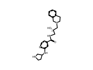 O=C(NC[C@H](O)CN1CCc2ccccc2C1)c1ccnc(NC2CCNC2)c1